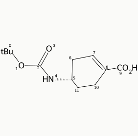 CC(C)(C)OC(=O)N[C@@H]1CC=C(C(=O)O)CC1